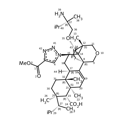 COC(=O)c1cn([C@@H]2C[C@@]34COC[C@](C)([C@@H]3CC[C@H]3C4=CC[C@@]4(C)[C@H](C(=O)O)[C@@](C)([C@H](C)C(C)C)CC[C@]34C)[C@H]2OC[C@](C)(N)C(C)C)nn1